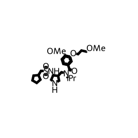 COCCCOc1cc(C(=O)N(CC2CNCC2NS(=O)(=O)CC2CCCC2)C(C)C)ccc1OC